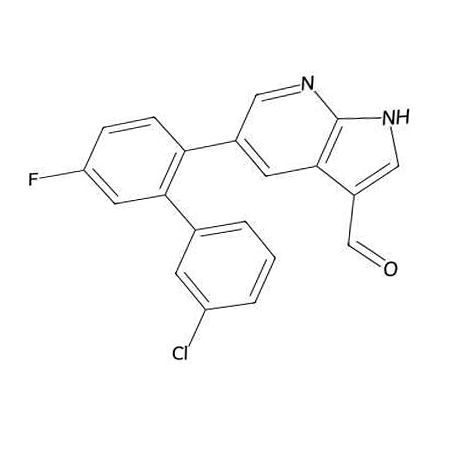 O=Cc1c[nH]c2ncc(-c3ccc(F)cc3-c3cccc(Cl)c3)cc12